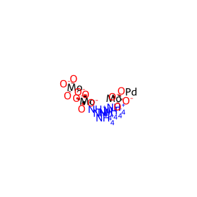 [NH4+].[NH4+].[NH4+].[NH4+].[NH4+].[NH4+].[O]=[Mo](=[O])([O-])[O-].[O]=[Mo](=[O])([O-])[O-].[O]=[Mo](=[O])([O-])[O-].[Pd]